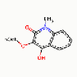 CCCCCCCCOc1c(O)c2ccccc2n(C)c1=O